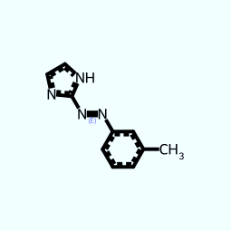 Cc1cccc(/N=N/c2ncc[nH]2)c1